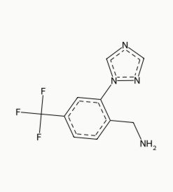 NCc1ccc(C(F)(F)F)cc1-n1cncn1